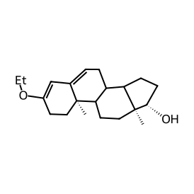 CCOC1=CC2=CCC3C(CC[C@@]4(C)C3CC[C@@H]4O)[C@@]2(C)CC1